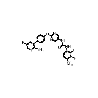 Nc1ncc(F)cc1-c1ccc(Oc2ncc(NC(=O)Nc3ccc(C(F)(F)F)c(F)c3F)cn2)cc1